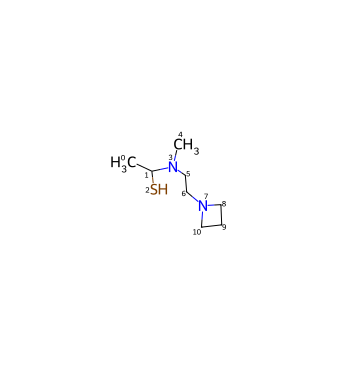 CC(S)N(C)CCN1CCC1